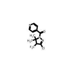 CC1(C)C(C(F)(F)F)C(Cl)=NN1C(=O)c1ccncc1